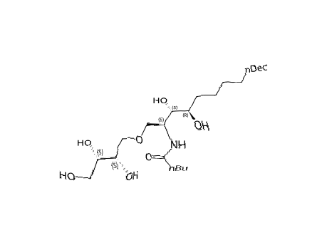 CCCCCCCCCCCCCC[C@@H](O)[C@@H](O)[C@H](COC[C@H](O)[C@@H](O)CO)NC(=O)CCCC